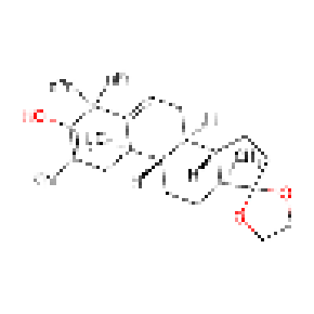 [C-]#[N+]C1=C(O)C(CCC)(CCC)C2=CC[C@@H]3[C@H](CC[C@@]4(C)[C@H]3CCC43OCCO3)[C@@]2(C)C1